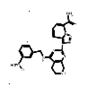 NC(=O)c1cccc2c(-c3nc4c(c(NCc5cccc(B(O)O)c5)n3)CCNC4)nnn12